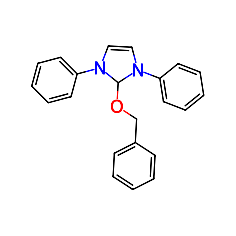 C1=CN(c2ccccc2)C(OCc2ccccc2)N1c1ccccc1